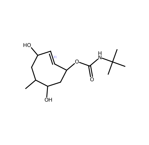 CC1CC(O)/C=C/C(OC(=O)NC(C)(C)C)CC1O